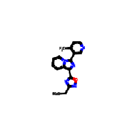 CSCc1noc(-c2nc(-c3cnccc3C(F)(F)F)n3ccccc23)n1